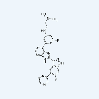 CN(C)CCNc1cc(F)cc(-c2ccnc3[nH]c(-c4n[nH]c5cc(F)c(-c6cncnc6)cc45)nc23)c1